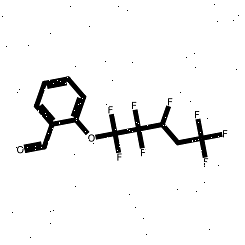 O=Cc1ccccc1OC(F)(F)C(F)(F)C(F)CC(F)(F)F